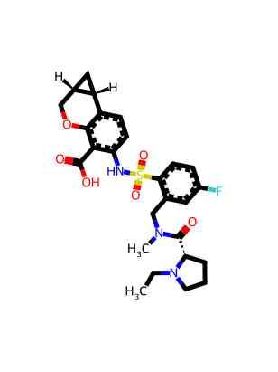 CCN1CCC[C@H]1C(=O)N(C)Cc1cc(F)ccc1S(=O)(=O)Nc1ccc2c(c1C(=O)O)OC[C@@H]1C[C@H]21